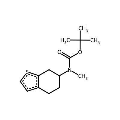 CN(C(=O)OC(C)(C)C)C1CCc2ccsc2C1